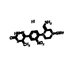 CSN1CCN(c2ccc(C3=NNC(=O)SC3C)cc2[N+](=O)[O-])C(=CN)C1.I